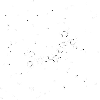 Cc1cc(C)cc(N(c2cc(C)cc(C)c2)c2ccc3cc4c(cc3c2)oc2c4ccc3oc4cc5cc(N(c6cc(C)cc(C)c6)c6cc(C)cc(C)c6)ccc5cc4c32)c1